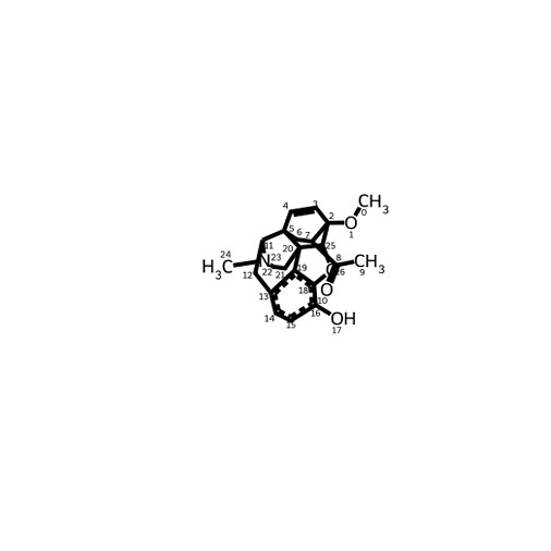 COC12C=CC3(CC1C(C)=O)C1Cc4ccc(O)c5c4C3(CCN1C)C2O5